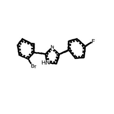 Fc1ccc(-c2c[nH]c(-c3ccccc3Br)n2)cc1